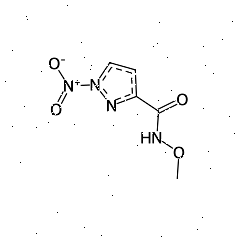 CONC(=O)c1ccn([N+](=O)[O-])n1